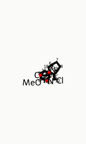 COc1ccc(N2C3CCC2c2c(Cl)nnc(Cl)c2C3)cc1